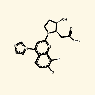 COC(=O)C[C@@H]1[C@@H](O)CCN1c1cc(-n2ccnc2)c2ccc(Cl)c(Cl)c2n1